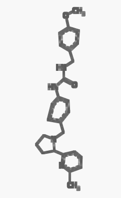 COc1ccc(CNC(=O)Nc2ccc(CN3CCCC3c3cccc(C)n3)cc2)cc1